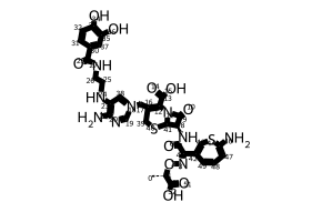 C[C@H](O/N=C(\C(=O)N[C@@H]1C(=O)N2C(C(=O)O)=C(C[n+]3cnc(N)c(NCCNC(=O)c4ccc(O)c(O)c4)c3)CSC12)C1=CSC(N)=CC=C1)C(=O)O